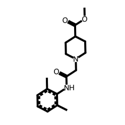 COC(=O)C1CCN(CC(=O)Nc2c(C)cccc2C)CC1